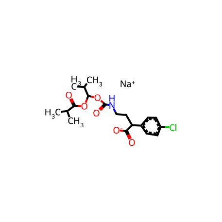 CC(C)C(=O)OC(OC(=O)NCCC(C(=O)[O-])c1ccc(Cl)cc1)C(C)C.[Na+]